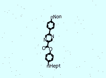 CCCCCCCCCc1ccc(-c2cnc(C(=O)Oc3ccc(CCCCCCC)cc3)cn2)cc1